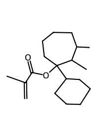 C=C(C)C(=O)OC1(C2CCCCC2)CCCCC(C)C1C